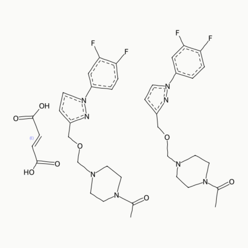 CC(=O)N1CCN(COCc2ccn(-c3ccc(F)c(F)c3)n2)CC1.CC(=O)N1CCN(COCc2ccn(-c3ccc(F)c(F)c3)n2)CC1.O=C(O)/C=C/C(=O)O